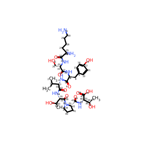 CC(C)[C@H](NC(=O)[C@H](Cc1ccc(O)cc1)NC(=O)[C@H](CO)NC(=O)[C@@H](N)CCCCN)C(=O)N[C@H](C(=O)N1CCC[C@H]1C(=O)N[C@H](C(=O)O)[C@@H](C)O)[C@@H](C)O